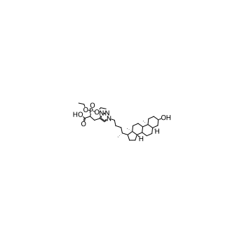 CCOP(=O)(OCC)C(Cc1cn(CCC[C@@H](C)C2CC[C@H]3C4CC[C@@H]5C[C@H](O)CC[C@]5(C)C4CC[C@]23C)nn1)C(=O)O